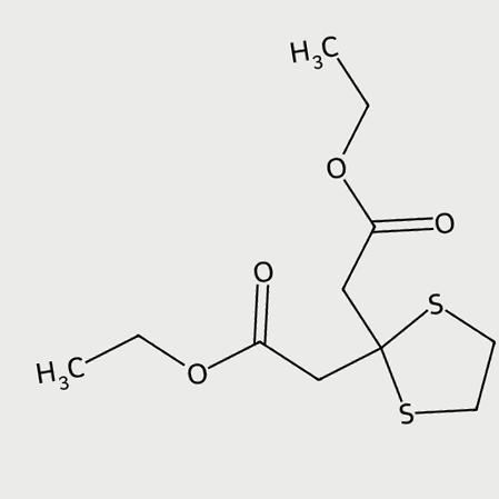 CCOC(=O)CC1(CC(=O)OCC)SCCS1